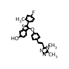 Cc1cc(F)ccc1-c1sc2cc(O)ccc2c1Oc1ccc(C=Cc2nnc(C)n2C)cc1